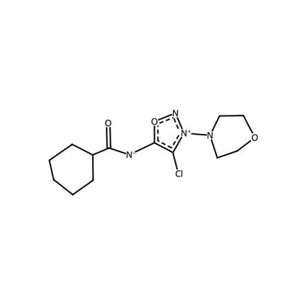 O=C([N-]c1on[n+](N2CCOCC2)c1Cl)C1CCCCC1